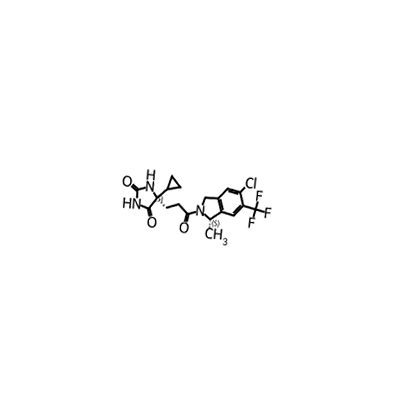 C[C@H]1c2cc(C(F)(F)F)c(Cl)cc2CN1C(=O)CC[C@@]1(C2CC2)NC(=O)NC1=O